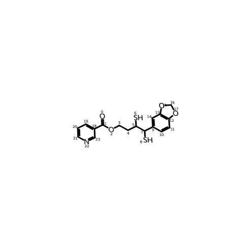 O=C(OCCC(S)C(S)c1ccc2c(c1)OCO2)c1cccnc1